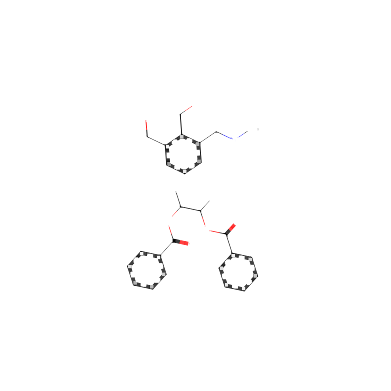 CC(C)(C)NCc1cccc(CO)c1CO.O=C(OC(C(=O)O)C(OC(=O)c1ccccc1)C(=O)O)c1ccccc1